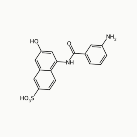 Nc1cccc(C(=O)Nc2cc(O)cc3cc(S(=O)(=O)O)ccc23)c1